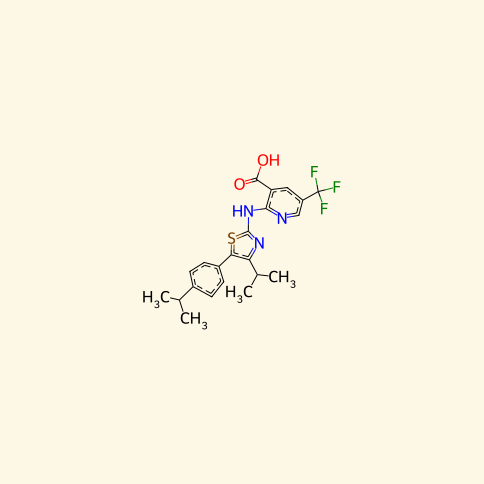 CC(C)c1ccc(-c2sc(Nc3ncc(C(F)(F)F)cc3C(=O)O)nc2C(C)C)cc1